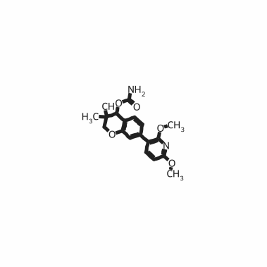 COc1ccc(-c2ccc3c(c2)OCC(C)(C)C3OC(N)=O)c(OC)n1